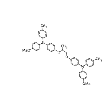 COc1ccc(N(c2ccc(C)cc2)c2ccc(OCC(C)Oc3ccc(N(c4ccc(C)cc4)c4ccc(OC)cc4)cc3)cc2)cc1